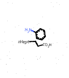 CCCCCCCCCC(=O)O.Nc1ccccc1